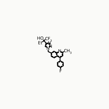 CCC(O)(c1cn(Cc2ccc3c(-c4ccc(F)cc4)cc(C)nc3c2)nn1)C(F)(F)F